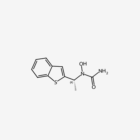 C[C@H](c1cc2ccccc2s1)N(O)C(N)=O